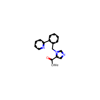 COC(=O)c1cncn1Cc1ccccc1-c1ccccn1